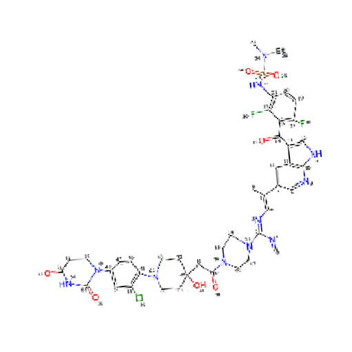 C=N/C(=N\C=C(/C)c1cnc2[nH]cc(C(=O)c3c(F)ccc(NS(=O)(=O)N(C)CC)c3F)c2c1)N1CCN(C(=O)CC2(O)CCN(c3ccc(N4CCC(=O)NC4=O)cc3Cl)CC2)CC1